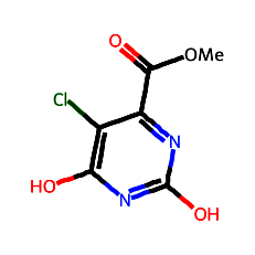 COC(=O)c1nc(O)nc(O)c1Cl